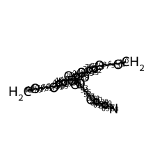 C=CCOCCCCCCOc1ccc2cc(C(=O)Oc3ccc(OC(=O)c4ccc5cc(OCCCCCCOCC=C)ccc5c4)c(C(=O)OCCCCCCOc4ccc(-c5ccc(C#N)cc5)cc4)c3)ccc2c1